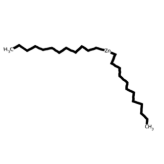 CCCCCCCCCCC[CH2][Zn][CH2]CCCCCCCCCCC